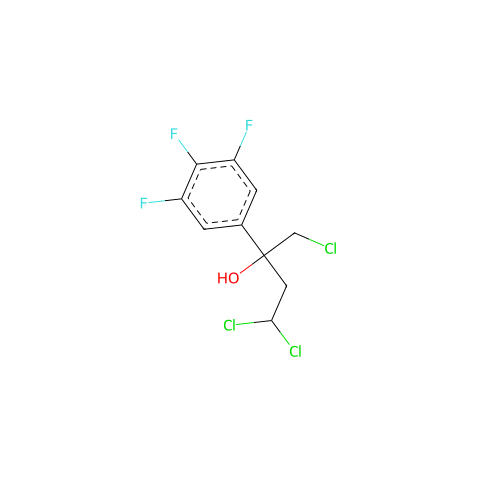 OC(CCl)(CC(Cl)Cl)c1cc(F)c(F)c(F)c1